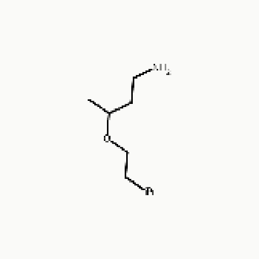 CC(C)CCOC(C)CCN